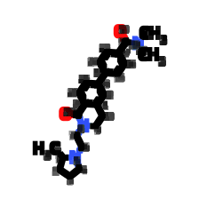 CC1CCCN1CCN1CCc2cc(-c3ccc(C(=O)N(C)C)cc3)ccc2C1=O